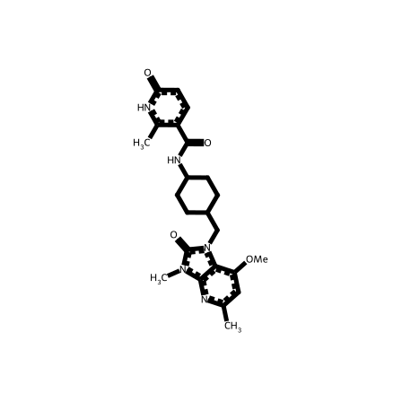 COc1cc(C)nc2c1n(CC1CCC(NC(=O)c3ccc(=O)[nH]c3C)CC1)c(=O)n2C